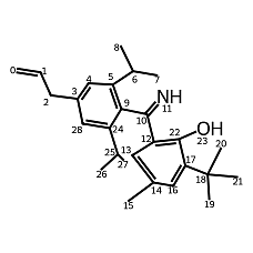 C=CCc1cc(C(C)C)c(C(=N)c2cc(C)cc(C(C)(C)C)c2O)c(C(C)C)c1